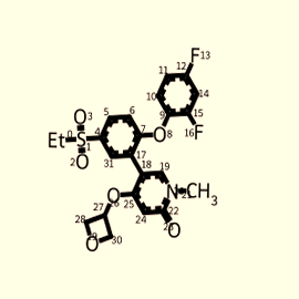 CCS(=O)(=O)c1ccc(Oc2ccc(F)cc2F)c(-c2cn(C)c(=O)cc2OC2COC2)c1